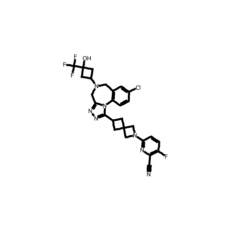 N#Cc1nc(N2CC3(CC(c4nnc5n4-c4ccc(Cl)cc4CN(C4CC(O)(C(F)(F)F)C4)C5)C3)C2)ccc1F